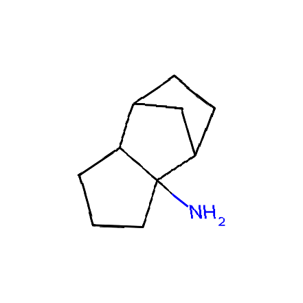 NC12CCCC1C1CCC2C1